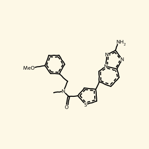 COc1cccc(CN(C)C(=O)c2cc(-c3ccc4nc(N)nn4c3)cs2)c1